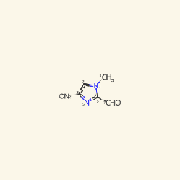 Cn1cc(N=O)nc1C=O